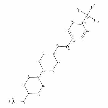 CCC1CCC(C2CCC(COc3ccc(C(F)(F)F)cc3)CC2)CC1